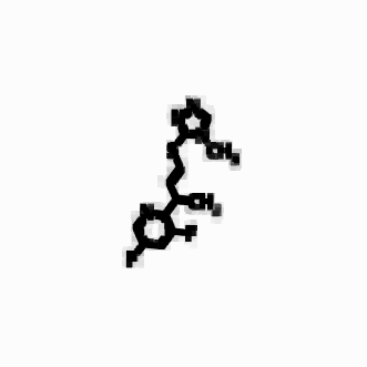 C=C(/C=C/Sc1nncn1C)c1ncc(F)cc1F